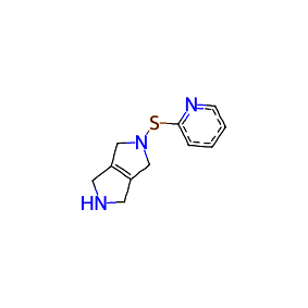 c1ccc(SN2CC3=C(CNC3)C2)nc1